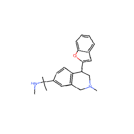 CNC(C)(C)c1ccc2c(c1)CN(C)CC2c1cc2ccccc2o1